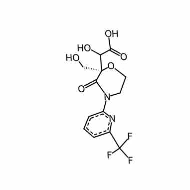 O=C(O)C(O)[C@@]1(CO)OCCN(c2cccc(C(F)(F)F)n2)C1=O